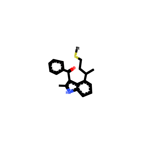 CCSCCC(C)c1cccc2[nH]c(C)c(C(=O)c3ccccc3)c12